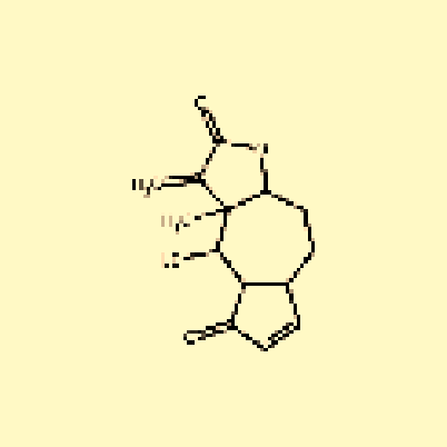 C=C1C(=O)OC2CCC3C=CC(=O)C3C(C)C12C